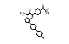 C[C@@H](O)C(=O)N1CCC(c2nc3c(-c4ccc(-c5ccc(F)cc5)nc4)cnn3c(N)c2Br)CC1